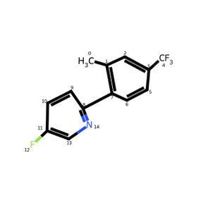 Cc1cc(C(F)(F)F)ccc1-c1ccc(F)cn1